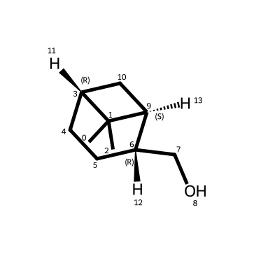 CC1(C)[C@@H]2CC[C@@H](CO)[C@@H]1C2